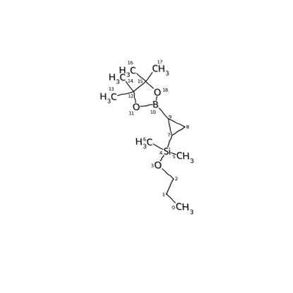 CCCO[Si](C)(C)C1CC1B1OC(C)(C)C(C)(C)O1